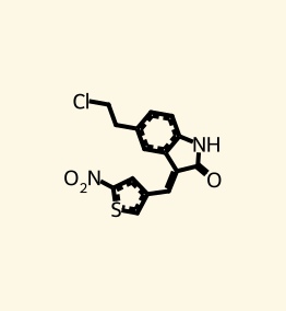 O=C1Nc2ccc(CCCl)cc2C1=Cc1csc([N+](=O)[O-])c1